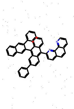 c1ccc(-c2ccc3c(-c4ccc5ccc6cccnc6c5n4)c4ccccc4c(-c4cc5ccccc5cc4-c4ccccc4)c3c2)cc1